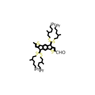 Cc1cc2c(s1)-c1cc3c(cc1C2=C(SCCC(C)CCCC(C)C)SCCC(C)CCCC(C)C)-c1sc(C=O)cc1C3=C(SCCC(C)CCCC(C)C)SCCC(C)CCCC(C)C